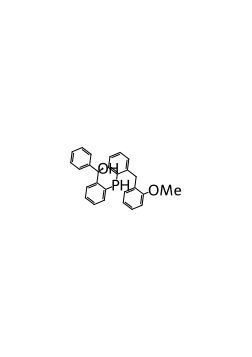 COc1ccccc1Cc1ccccc1Pc1ccccc1[C@H](O)c1ccccc1